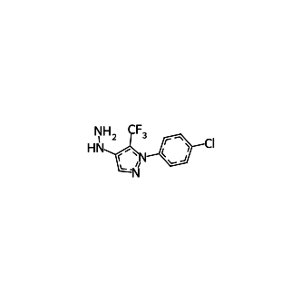 NNc1cnn(-c2ccc(Cl)cc2)c1C(F)(F)F